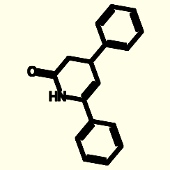 O=C1CC(c2ccccc2)C=C(c2ccccc2)N1